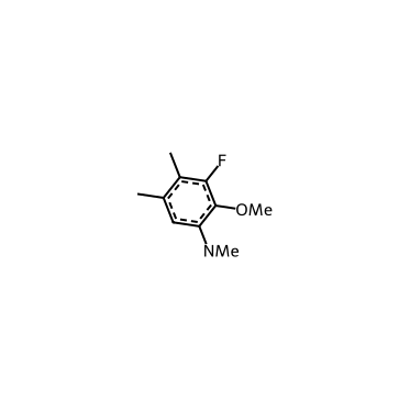 CNc1cc(C)c(C)c(F)c1OC